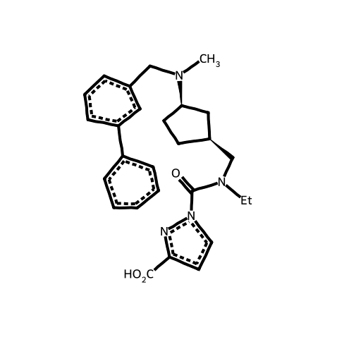 CCN(C[C@H]1CC[C@@H](N(C)Cc2cccc(-c3ccccc3)c2)C1)C(=O)n1ccc(C(=O)O)n1